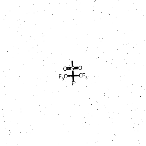 CS(=O)(=O)C(F)(C(F)(F)F)C(F)(F)F